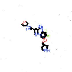 Nc1ncc(-c2cnn(C3CCOCC3)c2)cc1-c1nnnn1-c1ccc(OCC2CCNCC2)c(F)c1F